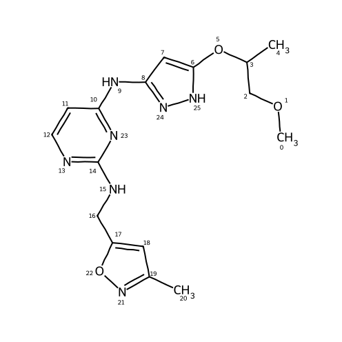 COCC(C)Oc1cc(Nc2ccnc(NCc3cc(C)no3)n2)n[nH]1